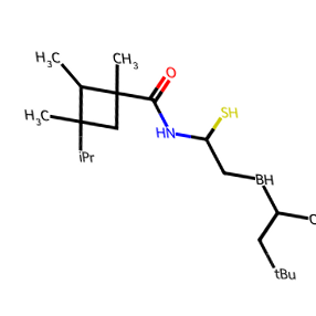 CC(BCC(S)NC(=O)C1(C)CC(C)(C(C)C)C1C)CC(C)(C)C